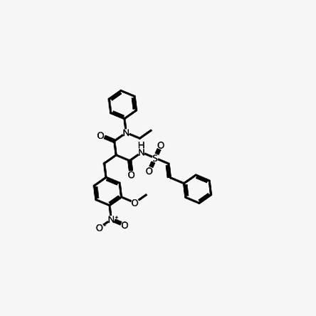 CCN(C(=O)C(Cc1ccc([N+](=O)[O-])c(OC)c1)C(=O)NS(=O)(=O)C=Cc1ccccc1)c1ccccc1